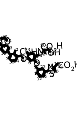 Cc1c(COc2cc(OCc3cccc(-c4nc(CC(=O)O)cs4)c3)c(CN[C@@](C)(CO)C(=O)O)cc2Cl)cccc1-c1ccc2c(c1)OCCO2